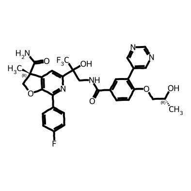 C[C@@H](O)COc1ccc(C(=O)NCC(O)(c2cc3c(c(-c4ccc(F)cc4)n2)OC[C@]3(C)C(N)=O)C(F)(F)F)cc1-c1cncnc1